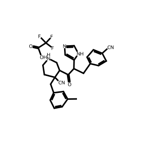 Cc1cccc(CC2(C#N)CCNCC2C(=O)C(Cc2ccc(C#N)cc2)c2cnc[nH]2)c1.O=C(O)C(F)(F)F